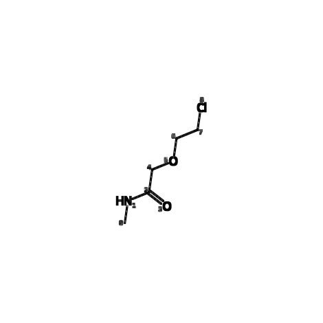 CNC(=O)COCCCl